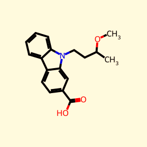 COC(C)CCn1c2ccccc2c2ccc(C(=O)O)cc21